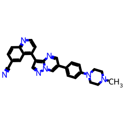 CN1CCN(c2ccc(-c3cnc4c(-c5ccnc6ccc(C#N)cc56)cnn4c3)cc2)CC1